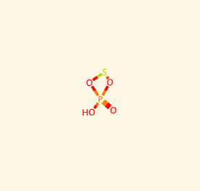 O=P1(O)OSO1